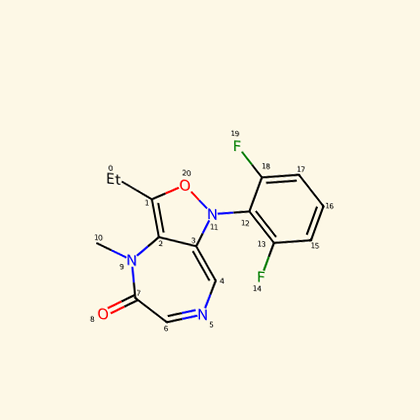 CCC1=C2C(=CN=CC(=O)N2C)N(c2c(F)cccc2F)O1